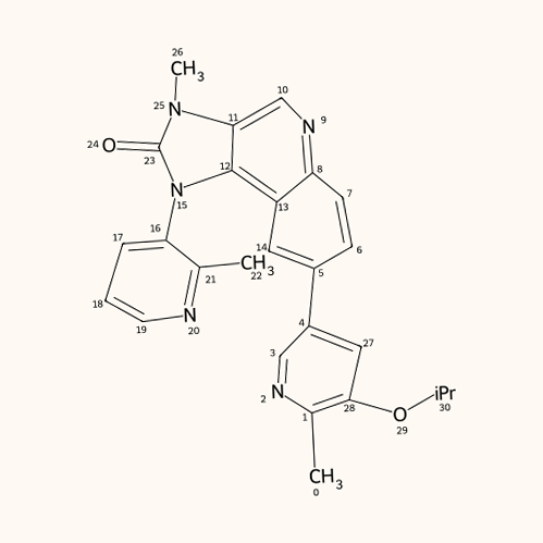 Cc1ncc(-c2ccc3ncc4c(c3c2)n(-c2cccnc2C)c(=O)n4C)cc1OC(C)C